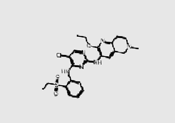 CCOc1nc2c(cc1Nc1ncc(Cl)c(Nc3ccccc3S(=O)(=O)CC)n1)CN(C)CC2